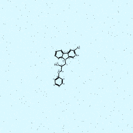 CC(=O)c1cc2c3ccccc3n(CC(O)COc3ccccc3)c2cn1